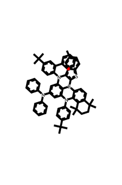 Cc1ccc2sc3c(c2c1)N(c1ccc(C(C)(C)C)cc1-c1ccccc1)c1cc(N(c2ccccc2)c2ccccc2)cc2c1B3c1ccc3c(c1N2c1ccc(C(C)(C)C)cc1)C(C)(C)CCC3(C)C